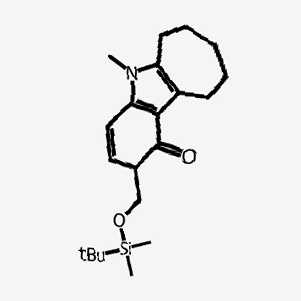 Cn1c2c(c3c1CCCCC3)C(=O)C(CO[Si](C)(C)C(C)(C)C)C=C2